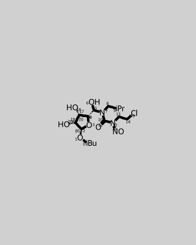 CCC(C)O[C@@H]1O[C@@H](C(O)N(CC(C)C)C(=O)N(CCCl)N=O)[C@@H](O)[C@H]1O